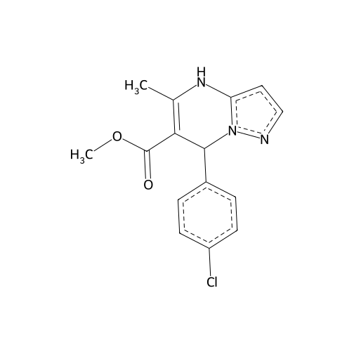 COC(=O)C1=C(C)Nc2ccnn2C1c1ccc(Cl)cc1